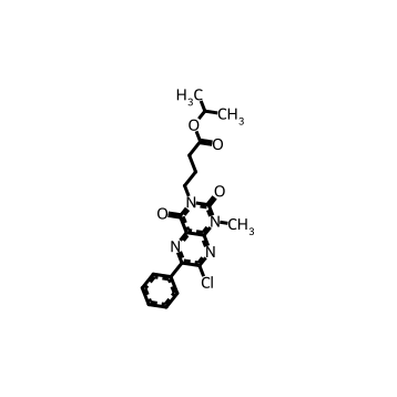 CC(C)OC(=O)CCCn1c(=O)c2nc(-c3ccccc3)c(Cl)nc2n(C)c1=O